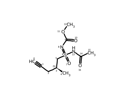 C#CC[C@H](C)CS(=O)(=NC(=O)OC)NC(C)=O